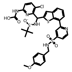 COc1ccc(CNS(=O)(=O)c2ccnc(-c3cccc4cc(C(N[S+]([O-])C(C)(C)C)c5nc(NC(=O)O)ccc5Cl)sc34)c2)cc1